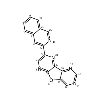 c1ccc2cc(-c3cnc4oc5cncnc5c4n3)ncc2c1